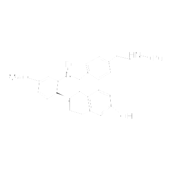 CCN(Cc1ccc(CCNC(C)(C)C)cc1)C1C=C(OC)C=CC1[C@@H]1CCc2cc(O)ccc2C1